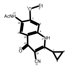 CCOc1cc2[nH]c(C3CC3)c(C#N)c(=O)c2cc1NC(C)=O